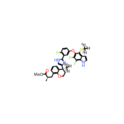 [2H]C([2H])([2H])Sc1c(Oc2ccc(F)c(-c3nc([C@@]4(C([2H])([2H])[2H])CCOc5c(C[C@@H](C)C(=O)OC)cccc54)c[nH]3)c2)c(F)c(F)c2[nH]ccc12